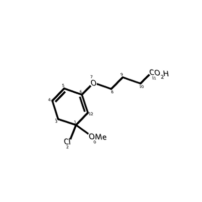 COC1(Cl)[CH]C=CC(OCCCC(=O)O)=C1